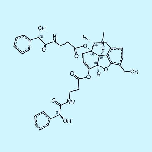 CN1CC[C@]23c4c5ccc(CO)c4O[C@H]2C(OC(=O)CCNC(=O)[C@@H](O)c2ccccc2)=CC[C@@]3(OC(=O)CCNC(=O)[C@@H](O)c2ccccc2)[C@H]1C5